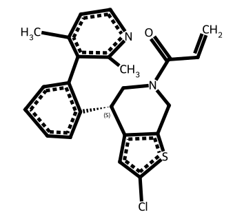 C=CC(=O)N1Cc2sc(Cl)cc2[C@H](c2ccccc2-c2c(C)ccnc2C)C1